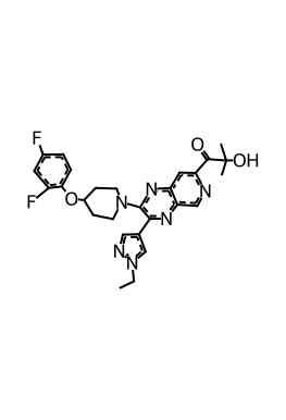 CCn1cc(-c2nc3cnc(C(=O)C(C)(C)O)cc3nc2N2CCC(Oc3ccc(F)cc3F)CC2)cn1